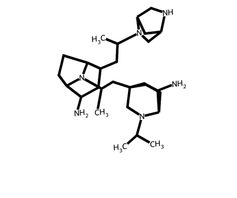 CC(C)N1CC2(CC(C)N3C4CCC3C(CC(C)N3CC5CC3CN5)CC4N)CCC1C(N)C2